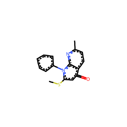 CSc1cc(=O)c2ccc(C)nc2n1-c1ccccc1